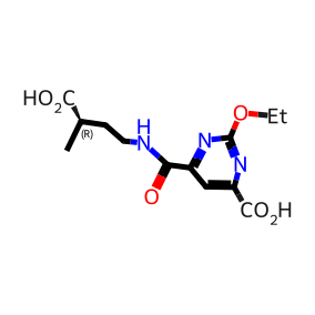 CCOc1nc(C(=O)O)cc(C(=O)NCC[C@@H](C)C(=O)O)n1